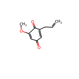 C=CCC1=CC(=O)C=C(OC)C1=O